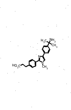 Cn1cc(-c2ccc(C(C)(C)N)cc2)nc1-c1ccc(CCC(=O)O)cc1